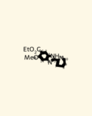 CCOC(=O)c1cc2[nH]c(-c3ccccn3)nc2cc1OC